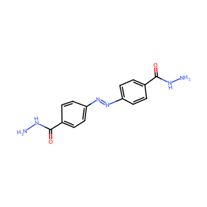 NNC(=O)c1ccc(N=Nc2ccc(C(=O)NN)cc2)cc1